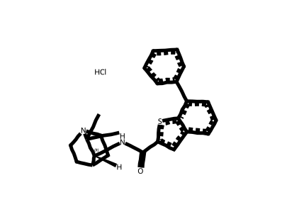 CC1(C)[C@H](NC(=O)c2cc3cccc(-c4ccccc4)c3s2)C2CCN1CC2.Cl